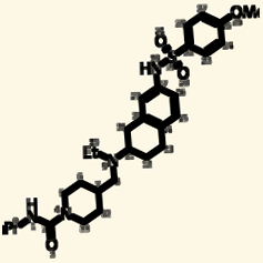 CCCNC(=O)N1CCC(CN(CC)C2CCc3ccc(NS(=O)(=O)c4ccc(OC)cc4)cc3C2)CC1